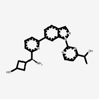 CC(O)c1ccnc(-n2ncc3ccc(-c4cccc([C@@H](N)C5CC(O)C5)n4)cc32)n1